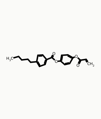 C=CC(=O)Oc1ccc(OC(=O)c2ccc(CCCCC)cc2)cc1